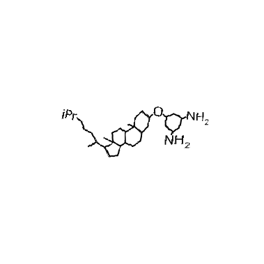 CC(C)CCCC(C)C1CCC2C3CCC4CC(OC5CC(N)CC(N)C5)CCC4(C)C3CCC12C